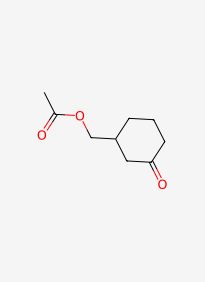 CC(=O)OCC1CCCC(=O)C1